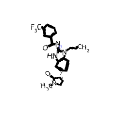 C=CCn1/c(=N/C(=O)c2cccc(C(F)(F)F)c2)[nH]c2cc([C@@H]3CCN(C)C3=O)ccc21